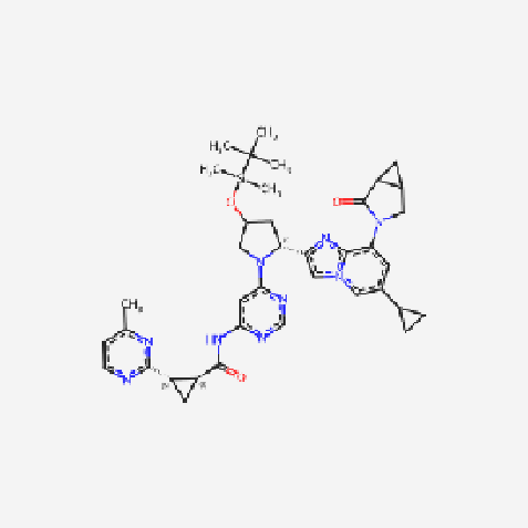 Cc1ccnc([C@H]2C[C@@H]2C(=O)Nc2cc(N3CC(O[Si](C)(C)C(C)(C)C)C[C@@H]3c3cn4cc(C5CC5)cc(N5CC6CC6C5=O)c4n3)ncn2)n1